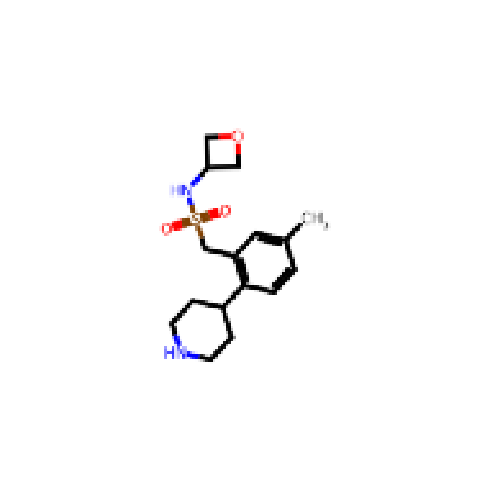 Cc1ccc(C2CCNCC2)c(CS(=O)(=O)NC2COC2)c1